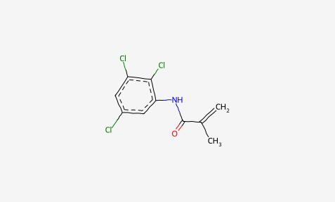 C=C(C)C(=O)Nc1cc(Cl)cc(Cl)c1Cl